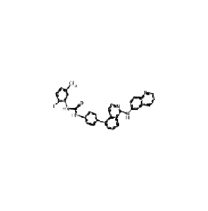 O=C(Nc1ccc(-c2cccc3c(Nc4ccc5ncccc5c4)nccc23)cc1)Nc1cc(C(F)(F)F)ccc1F